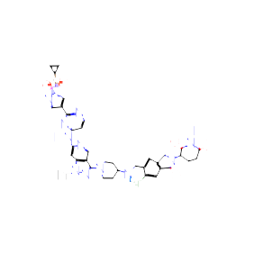 CC(C)n1nc(N2CCC(N(C)Cc3cc4c(cc3Br)C(=O)N(C3CCC(=O)NC3=O)C4)CC2)c2cnc(Nc3ccnc(-c4cnn(S(=O)(=O)C5CC5)c4)n3)cc21